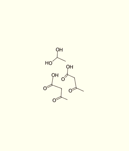 CC(=O)CC(=O)O.CC(=O)CC(=O)O.CC(O)O